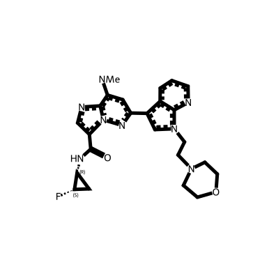 CNc1cc(-c2cn(CCN3CCOCC3)c3ncccc23)nn2c(C(=O)N[C@@H]3C[C@@H]3F)cnc12